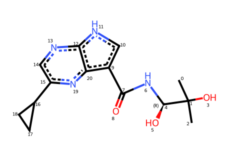 CC(C)(O)[C@@H](O)NC(=O)c1c[nH]c2ncc(C3CC3)nc12